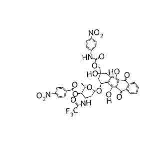 C[C@H]1O[C@@H](O[C@H]2CC(O)(COC(=O)Nc3ccc([N+](=O)[O-])cc3)Cc3c(O)c4c(c(O)c32)C(=O)c2ccccc2C4=O)C[C@H](NC(=O)C(F)(F)F)[C@H]1OC(=O)c1ccc([N+](=O)[O-])cc1